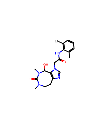 CCc1cccc(C)c1NC(=O)Cn1cnc2c1C(O)N(C)C(=O)N(C)CC2